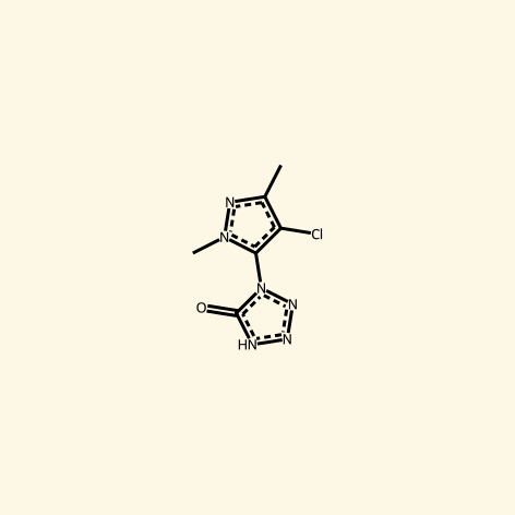 Cc1nn(C)c(-n2nn[nH]c2=O)c1Cl